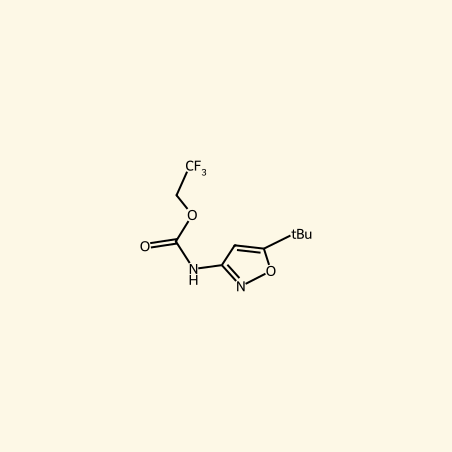 CC(C)(C)c1cc(NC(=O)OCC(F)(F)F)no1